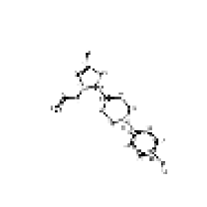 CC1=CN(CC=O)N(N2CCN(c3ccc(F)cc3)CC2)C1